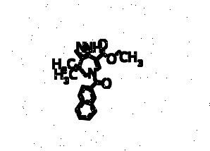 CCOC(=O)C1=CN(C(=O)c2ccc3ccccc3c2)CC(C)(C)c2cn[nH]c21